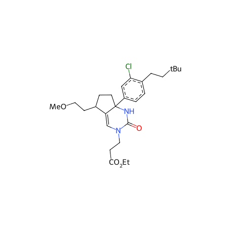 CCOC(=O)CCN1C=C2C(CCOC)CCC2(c2ccc(CCC(C)(C)C)c(Cl)c2)NC1=O